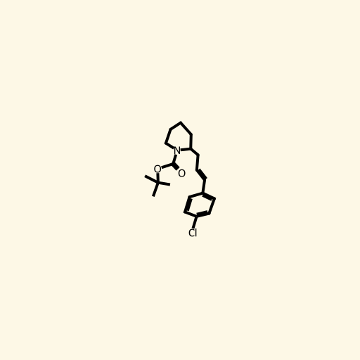 CC(C)(C)OC(=O)N1CCCCC1CC=Cc1ccc(Cl)cc1